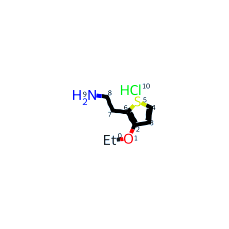 CCOc1ccsc1CCN.Cl